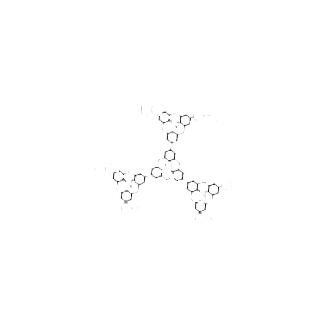 Cc1cc2c3c(c1)Cc1cc(-c4cc5c6c(c4)Cc4cc(-c7cc8c9c(c7)Cc7cc(C)cc%10c7N9c7c(cc(C)cc7C8)C%10)cc7c4N6c4c(cc(-c6cc8c9c(c6)Cc6cc(C)cc%10c6N9c6c(cc(C)cc6C8)C%10)cc4C7)C5)cc4c1N3c1c(cc(C)cc1C4)C2